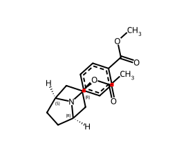 COC(=O)c1ccc(N2[C@@H]3CC[C@H]2C[C@@H](OC(C)=O)C3)cc1